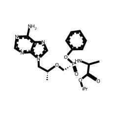 CC(C)OC(=O)C(C)N[P@](=O)(CO[C@H](C)Cn1cnc2c(N)ncnc21)Oc1ccccc1